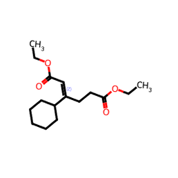 CCOC(=O)/C=C(/CCC(=O)OCC)C1CCCCC1